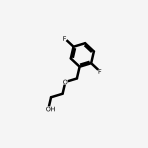 OCCOCc1cc(F)ccc1F